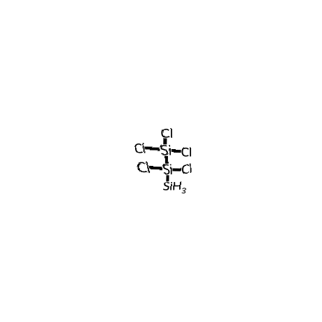 [SiH3][Si](Cl)(Cl)[Si](Cl)(Cl)Cl